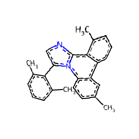 Cc1ccc2c(c1)c1cccc(C)c1c1ncc(-c3c(C)cccc3C)n21